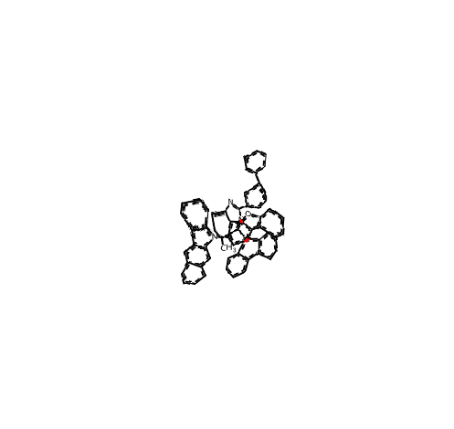 CC1C/C=C(c2c(-n3c4ccccc4c4cc5ccccc5cc43)ccc3c2oc2ccccc23)/N=C(c2cccc(-c3ccccc3)c2)\N=C/1n1c2ccccc2c2ccccc21